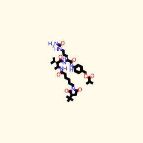 CC(C)C(=O)OCc1ccc(NC(=O)[C@H](CCCNC(N)=O)NC(=O)[C@H](C(C)C)C(C)NC(=O)CCCCCN2C(=O)CC(C(C)(C)C)C2=O)cc1